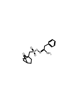 CC1(C)C2CCC1(CS(=O)(=O)O/N=C(/N)Cc1ccccc1)C(=O)C2